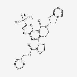 CC(C)(C)C(=O)Oc1c2n(c([C@@H]3CCCN3C(=O)OCc3ccccc3)nc1=O)CCN(C1Cc3ccccc3C1)C2=O